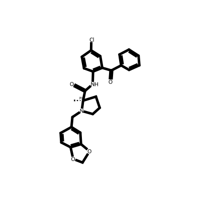 C[C@]1(C(=O)Nc2ccc(Cl)cc2C(=O)c2ccccc2)CCCN1Cc1ccc2c(c1)OCO2